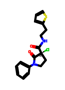 O=C(NCCc1cccs1)[C@@]1(Cl)CCN(c2ccccc2)C1=O